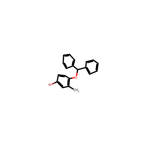 Cc1cc(Br)ccc1OC(c1ccccc1)c1ccccc1